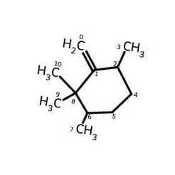 C=C1C(C)CCC(C)C1(C)C